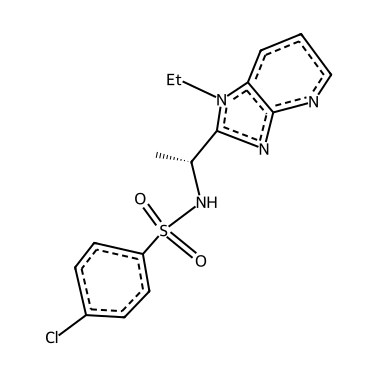 CCn1c([C@@H](C)NS(=O)(=O)c2ccc(Cl)cc2)nc2ncccc21